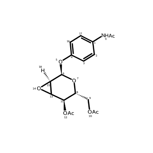 CC(=O)Nc1ccc(O[C@H]2O[C@H](COC(C)=O)[C@@H](OC(C)=O)C3O[C@H]32)cc1